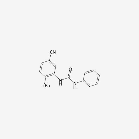 CC(C)(C)c1ccc(C#N)cc1NC(=O)Nc1ccccc1